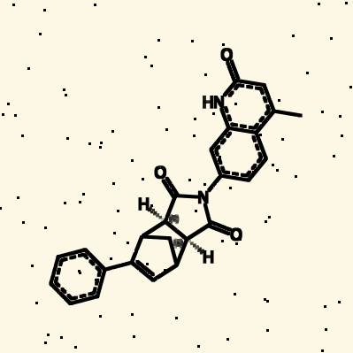 Cc1cc(=O)[nH]c2cc(N3C(=O)[C@@H]4C5CC(C=C5c5ccccc5)[C@@H]4C3=O)ccc12